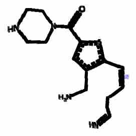 N=CC/C=C\c1sc(C(=O)N2CCNCC2)cc1CN